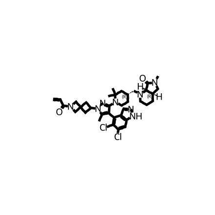 C=CC(=O)N1CC2(CC(n3nc(N4CC[C@@H](CN5CCC[C@@H]6CN(C)C(=O)[C@@H]65)CC4(C)C)c(-c4c(Cl)c(Cl)cc5[nH]ncc45)c3C)C2)C1